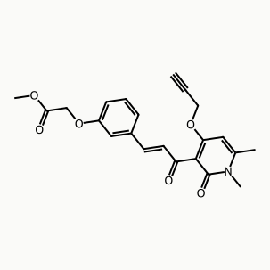 C#CCOc1cc(C)n(C)c(=O)c1C(=O)C=Cc1cccc(OCC(=O)OC)c1